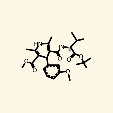 COC(=O)C1=C(C)NC(C)=C(C(=O)N[C@H](C(=O)OC(C)(C)C)C(C)C)C1c1cccc(OC)c1